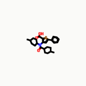 CC1CCC(C(=O)N(c2cc(-c3ccccc3)sc2C(=O)O)C2CCC(C)CC2)CC1